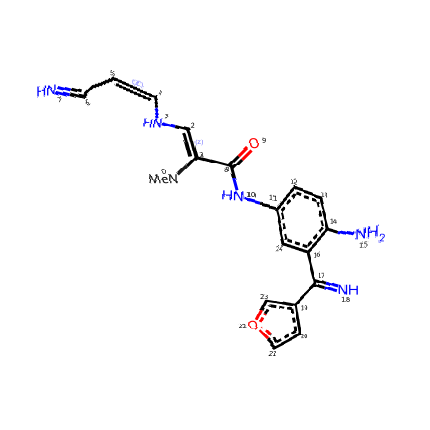 CN/C(=C\N/C=C\C=N)C(=O)Nc1ccc(N)c(C(=N)c2ccoc2)c1